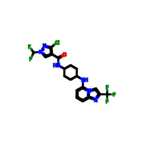 O=C(NC1CCC(Nc2cccc3nc(C(F)(F)F)cn23)CC1)c1cn(C(F)F)nc1Cl